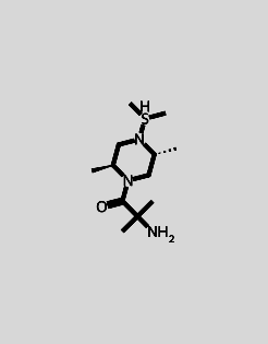 C[C@@H]1CN(C(=O)C(C)(C)N)[C@@H](C)CN1[SH](C)C